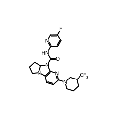 O=C(Nc1ccc(F)cn1)N1c2nc(N3CCCC(C(F)(F)F)C3)ccc2N2CCCC21